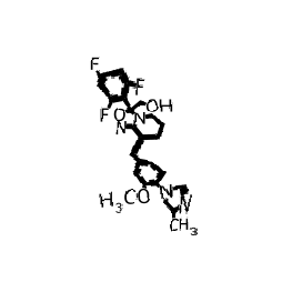 COc1cc(/C=C2\CCCN3C2=NOC3(CO)c2c(F)cc(F)cc2F)ccc1N1C=NC(C)C1